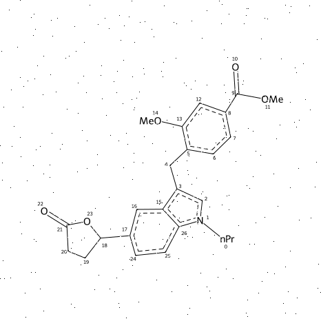 CCCn1cc(Cc2ccc(C(=O)OC)cc2OC)c2cc(C3CCC(=O)O3)ccc21